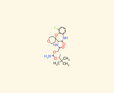 CC(C)(C)CC[C@H](OC(N)=O)C(=O)NC1C(=O)Nc2cccc(F)c2OC12CCOCC2